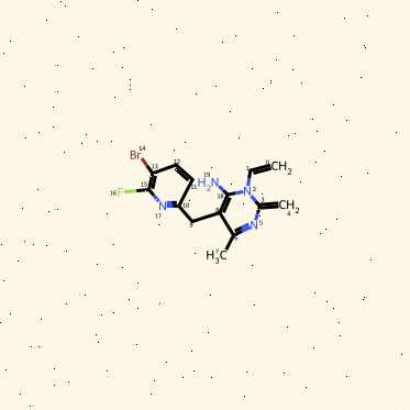 C=CN1C(=C)N=C(C)C(Cc2ccc(Br)c(F)n2)=C1N